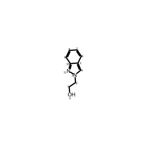 OCCn1cc2c[c]ccc2n1